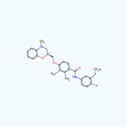 Cc1c(OC[C@@H]2CN(C)c3ccccc3O2)ccc(C(=O)Nc2ccc(F)c(CC(=O)O)c2)c1C